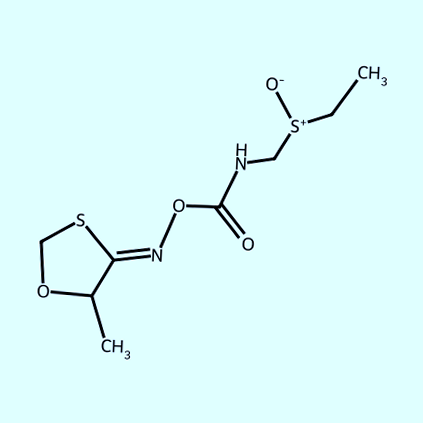 CC[S+]([O-])CNC(=O)ON=C1SCOC1C